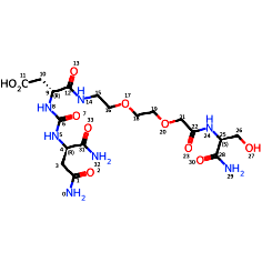 NC(=O)C[C@@H](NC(=O)N[C@H](CC(=O)O)C(=O)NCCOCCOCC(=O)N[C@@H](CO)C(N)=O)C(N)=O